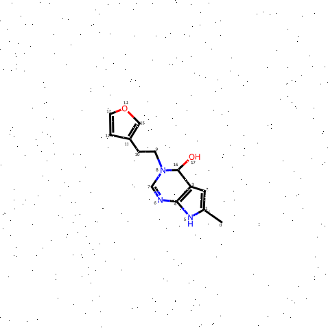 Cc1cc2c([nH]1)N=CN(CCc1ccoc1)C2O